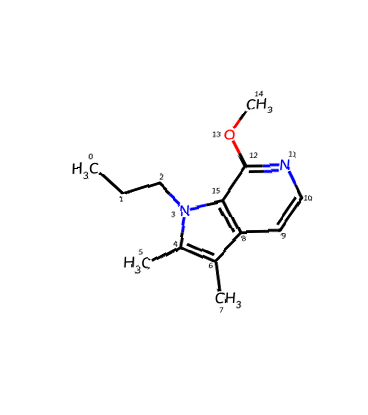 CCCn1c(C)c(C)c2ccnc(OC)c21